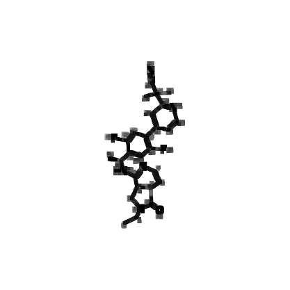 CCN1Cc2c(ccnc2N[C@@H](C)c2cc(F)c(-c3ccnc(C(C)(C)C#N)c3)cc2F)C1=O